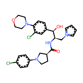 O=C(N[C@H](Cn1cccc1)[C@H](O)c1ccc(N2CCOCC2)c(Cl)c1)[C@H]1CCN(c2ccc(Cl)cc2)C1